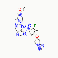 C=CC(=O)N1CCN(c2ncc3ncnc(Nc4ccc(Oc5ccn6ncnc6c5)c(C)c4F)c3n2)C(C)C1C